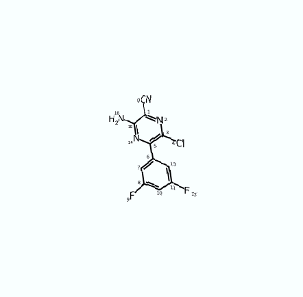 N#Cc1nc(Cl)c(-c2cc(F)cc(F)c2)nc1N